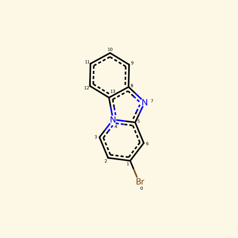 Brc1ccn2c(c1)nc1ccccc12